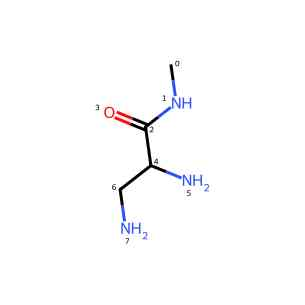 CNC(=O)C(N)CN